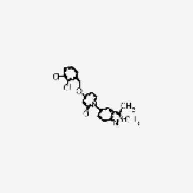 Cc1c2cc(-n3ccc(OCc4cccc(Cl)c4Cl)cc3=O)ccc2nn1C